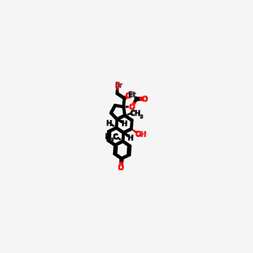 CCC(=O)O[C@@]1(C(=O)CBr)CC[C@H]2[C@@H]3C=CC4=CC(=O)C=C[C@]4(C)[C@H]3[C@@H](O)C[C@@]21C